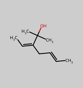 CC=CCC(=CC)C(C)(C)O